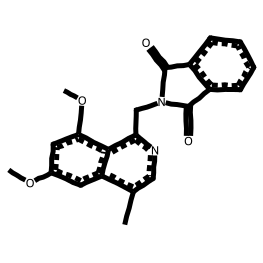 COc1cc(OC)c2c(CN3C(=O)c4ccccc4C3=O)ncc(C)c2c1